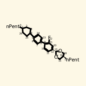 CCCCCC1CCC(c2ccc(-c3ccc([C@H]4OC[C@H](CCCCC)CO4)cc3F)cc2)CC1